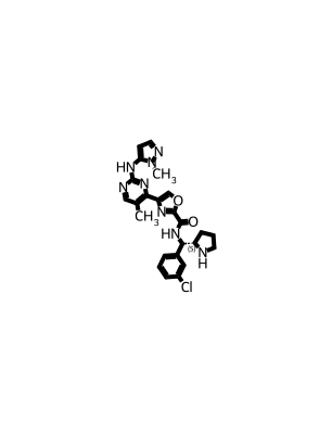 Cc1cnc(Nc2ccnn2C)nc1-c1coc(C(=O)NC(c2cccc(Cl)c2)[C@@H]2CCCN2)n1